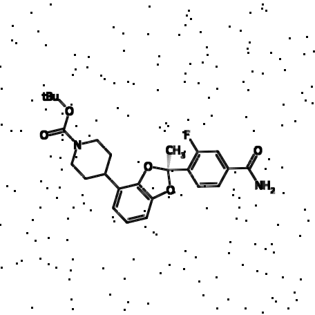 CC(C)(C)OC(=O)N1CCC(c2cccc3c2O[C@@](C)(c2ccc(C(N)=O)cc2F)O3)CC1